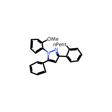 CCCCCc1ccccc1-c1cc(-c2ccccc2)n(-c2ccccc2OC)n1